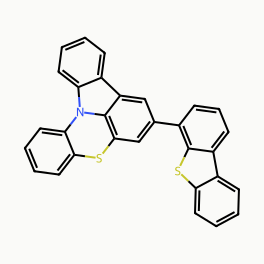 c1ccc2c(c1)Sc1cc(-c3cccc4c3sc3ccccc34)cc3c4ccccc4n-2c13